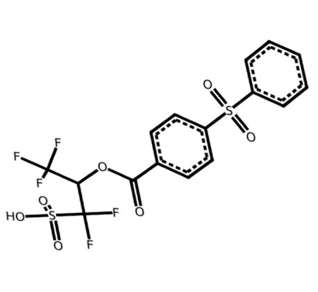 O=C(OC(C(F)(F)F)C(F)(F)S(=O)(=O)O)c1ccc(S(=O)(=O)c2ccccc2)cc1